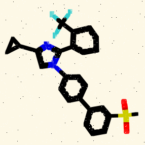 CS(=O)(=O)c1cccc(-c2ccc(-n3cc(C4CC4)nc3-c3ccccc3C(F)(F)F)cc2)c1